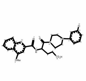 COc1cc(C(=O)NC(CCC(=O)O)C(=O)N2CCN(c3cccc(Cl)c3)CC2)nc2ccccc12